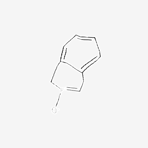 [O-][P+]1=Cc2ccccc2C1